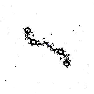 O=C(/C=C/C(=O)Oc1nc2cc(C(=O)N[C@H]3CN4CCC3CC4)ccc2s1)Oc1nc2cc(C(=O)N[C@H]3CN4CCC3CC4)ccc2s1